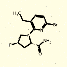 CCc1ccc(Br)nc1N1C[C@H](F)C[C@H]1C(N)=O